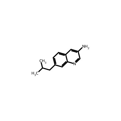 CC(C)Cc1ccc2cc(N)cnc2c1